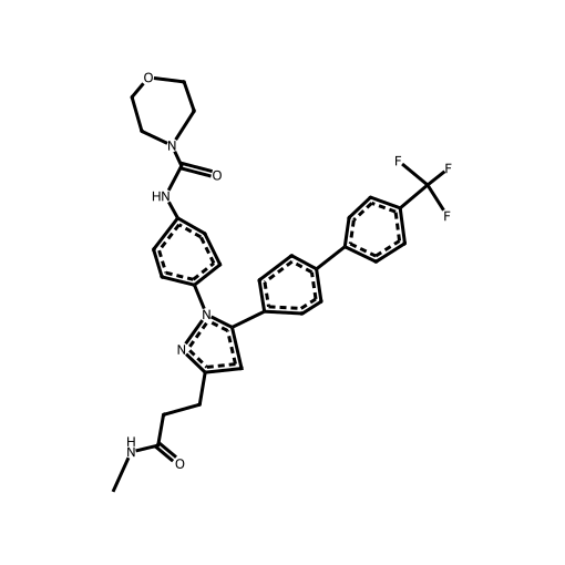 CNC(=O)CCc1cc(-c2ccc(-c3ccc(C(F)(F)F)cc3)cc2)n(-c2ccc(NC(=O)N3CCOCC3)cc2)n1